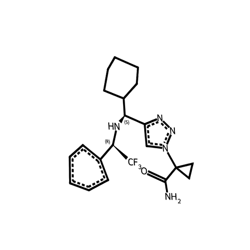 NC(=O)C1(n2cc([C@@H](N[C@H](c3ccccc3)C(F)(F)F)C3CCCCC3)nn2)CC1